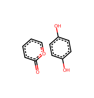 O=c1cccco1.Oc1ccc(O)cc1